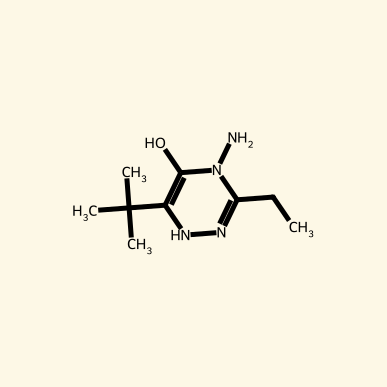 CCC1=NNC(C(C)(C)C)=C(O)N1N